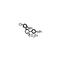 CCCc1ccc(C2c3[nH]c4ccc(Cl)cc4c3CCN2C(=O)OCC)cc1